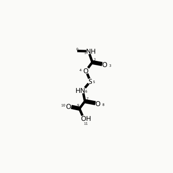 CNC(=O)OSNC(=O)C(=O)O